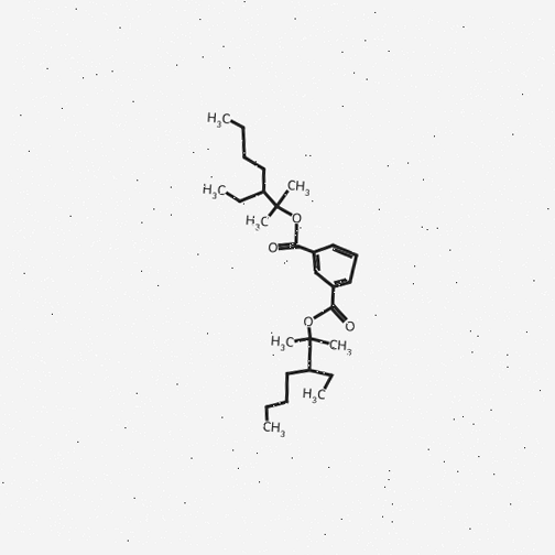 CCCCC(CC)C(C)(C)OC(=O)c1cccc(C(=O)OC(C)(C)C(CC)CCCC)c1